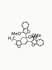 COc1c(C2=Cc3o[c]c(C)c3CC2(OC)c2oc3ccccc3c2OC)oc2ccccc12